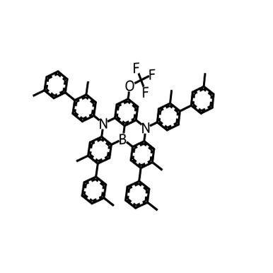 Cc1cccc(-c2ccc(N3c4cc(C)c(-c5cccc(C)c5)cc4B4c5cc(-c6cccc(C)c6)c(C)cc5N(c5ccc(-c6cccc(C)c6)c(C)c5)c5cc(OC(F)(F)F)cc3c54)cc2C)c1